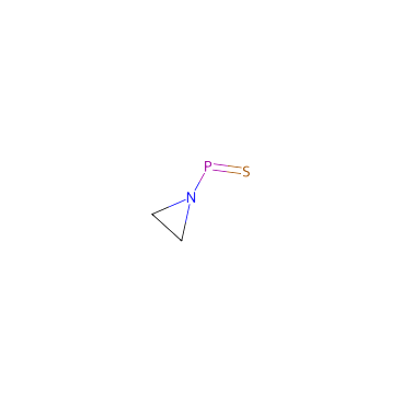 S=PN1CC1